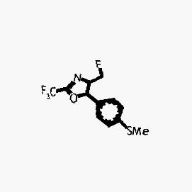 CSc1ccc(C2OC(C(F)(F)F)=NC2CF)cc1